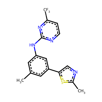 Cc1cc(Nc2nccc(C(F)(F)F)n2)cc(-c2cnc(C)s2)c1